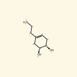 NCCC1=CC[C@@H](O)[C@@H](O)C1